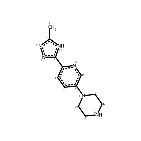 Cc1nnc(-c2ccc(N3CCNCC3)cn2)[nH]1